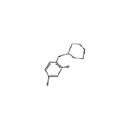 Fc1ccc(CC2[CH]CCCC2)c(F)c1